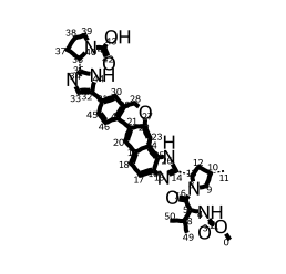 COC(=O)NC(C(=O)N1C[C@@H](C)C[C@H]1c1nc2ccc3cc4c(cc3c2[nH]1)OCc1cc(-c2cnc([C@@H]3CCCN3C(=O)O)[nH]2)ccc1-4)C(C)C